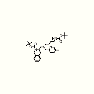 Cc1ccc(CN(CCCCNC(=O)OC(C)(C)C)CC2Cc3ccccc3CN2C(=O)OC(C)(C)C)nc1